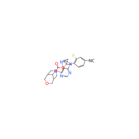 [C-]#[N+]c1ccc(-n2cnc3c(OC4C5COCC4CN(C(=O)OC4(C)CC4)C5)ncnc32)c(F)c1